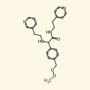 COOCc1ccc(C(NCCc2cccnc2)C(=O)NCCc2ccncc2)cc1